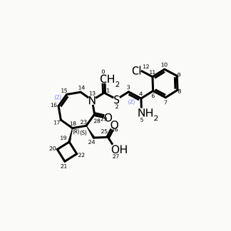 C=C(S/C=C(\N)c1ccccc1Cl)N1C/C=C\C[C@H](C2CCC2)[C@H](CC(=O)O)C1=O